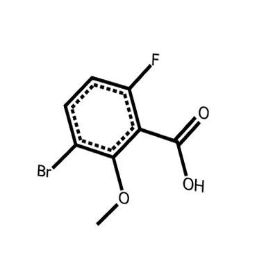 COc1c(Br)ccc(F)c1C(=O)O